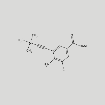 COC(=O)c1cc(Cl)c(N)c(C#C[Si](C)(C)C)c1